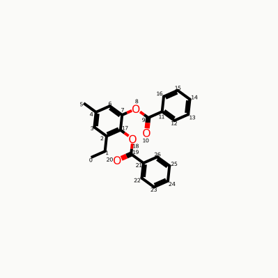 CCc1cc(C)cc(OC(=O)c2ccccc2)c1OC(=O)c1ccccc1